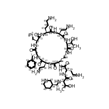 CC(C)C[C@@H]1NC(=O)[C@@H](Cc2ccccc2)NC(=O)[C@H](CCN)NC(=O)[C@@H](NC(=O)[C@H](CCN)NC(=O)[C@@H](NC[C@H]2CCCNC2)C(C)O)CCNC(=O)[C@H](C(C)O)NC(=O)[C@H](CCN)NC(=O)[C@H](CCCN)NC1=O